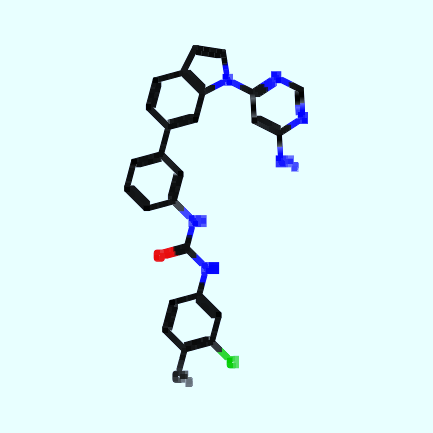 Nc1cc(-n2ccc3ccc(-c4cccc(NC(=O)Nc5ccc(C(F)(F)F)c(Cl)c5)c4)cc32)ncn1